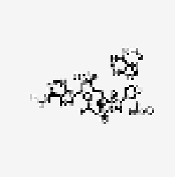 COC[C@H]1O[C@@H](n2cnc3c(N)ncnc32)CC1OP(=O)(NS(=O)(=O)CC(F)F)OCC1OC(n2cnc3c(N)ncnc32)CC1OC